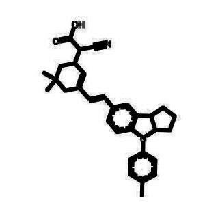 Cc1ccc(N2c3ccc(/C=C/C4=CC(C(C#N)C(=O)O)CC(C)(C)C4)cc3C3CCCC32)cc1